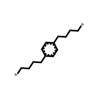 BrCCCCc1ccc(CCCCBr)cc1